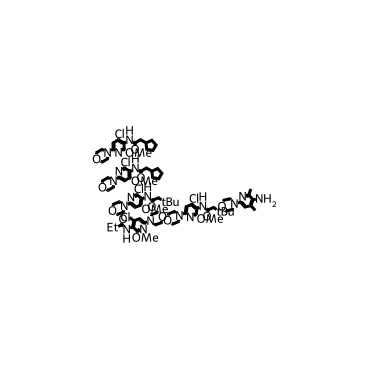 CCC(=O)Nc1c(Cl)cc(N2CCOCC2)nc1OC.COc1cc(N2CCOCC2)nc(Cl)c1NC(=O)CC(C)(C)C.COc1cc(N2CCOCC2)nc(Cl)c1NC(=O)CC1CCCC1.COc1nc(N2CCOCC2)cc(Cl)c1NC(=O)CC(C)(C)C.COc1nc(N2CCOCC2)cc(Cl)c1NC(=O)CC1CCCC1.Cc1cc(N2CCOCC2)nc(C)c1N